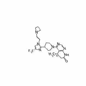 C[C@@H]1CC(=O)Nc2ncnc(N3CCC(c4nc(C(F)(F)F)cn4CCN4CCC4)CC3)c21